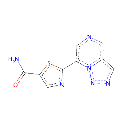 NC(=O)c1cnc(-c2cncc3cnnn23)s1